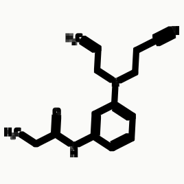 C=CCN(CCC#N)c1cccc(NC(=O)CC)c1